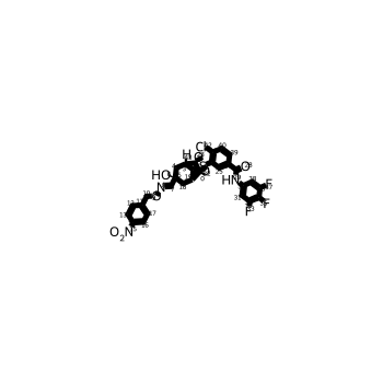 C[C@@H]1C[C@H]2C[C@](O)(/C=N/OCc3ccc([N+](=O)[O-])cc3)CC1C2S(=O)(=O)c1cc(C(=O)Nc2cc(F)c(F)c(F)c2)ccc1Cl